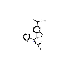 CCC(=O)/C=C(/c1ccccc1)N1CCc2cc(C(=O)OC)ccc21